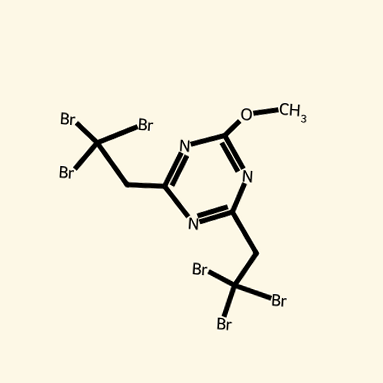 COc1nc(CC(Br)(Br)Br)nc(CC(Br)(Br)Br)n1